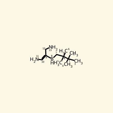 CC(C)(C)C(C)(C)CB/C(=C/N)CN